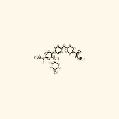 CCCCNc1ncc(-c2ccc(CC3CCN(C(=O)OC(C)(C)C)CC3)cn2)c(N[C@H]2CC[C@H](O)CC2)n1